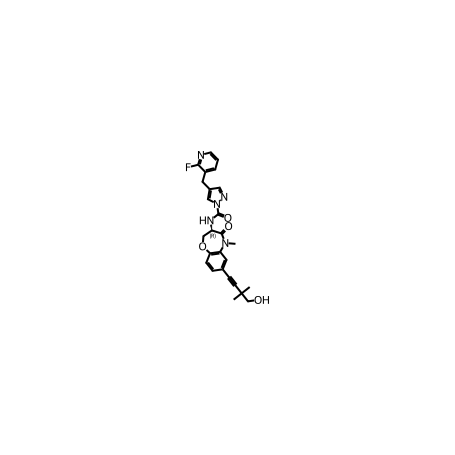 CN1C(=O)[C@H](NC(=O)n2cc(Cc3cccnc3F)cn2)COc2ccc(C#CC(C)(C)CO)cc21